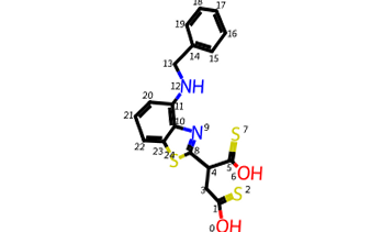 OC(=S)CC(C(O)=S)c1nc2c(NCc3ccccc3)cccc2s1